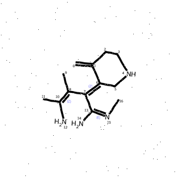 C=C1CCNC/C1=C(C(/C)=C(/C)N)\C(N)=N/C